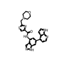 O=C(Nc1cc(-c2ccnc3[nH]ccc23)cc2[nH]ncc12)c1csc(CN2CCOCC2)n1